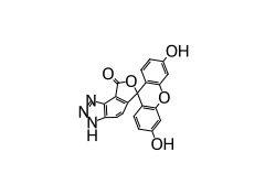 O=C1OC2(c3ccc(O)cc3Oc3cc(O)ccc32)c2ccc3[nH]nnc3c21